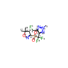 Cn1nc(CF)c(C(F)(F)S(=O)(=O)C2=NOC(C)(C)C2)n1